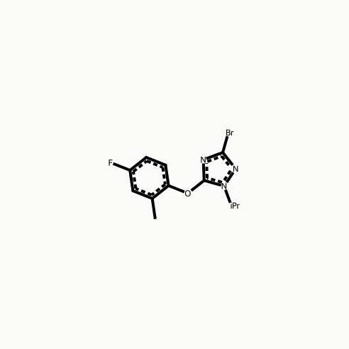 Cc1cc(F)ccc1Oc1nc(Br)nn1C(C)C